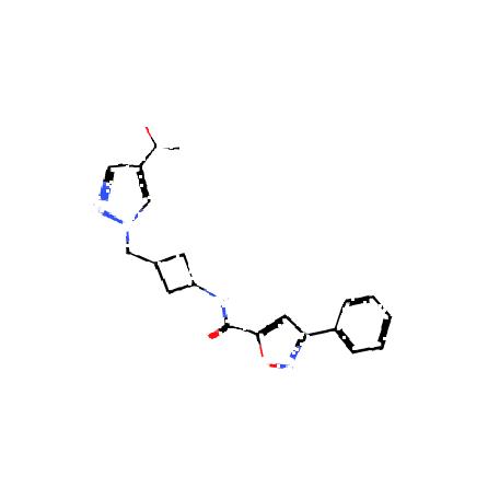 C[C@H](O)c1cnn(CC2CC(NC(=O)c3cc(-c4ccccc4)no3)C2)c1